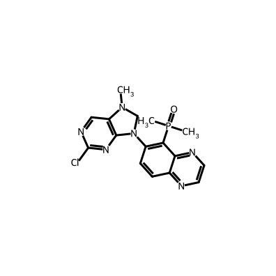 CN1CN(c2ccc3nccnc3c2P(C)(C)=O)c2nc(Cl)ncc21